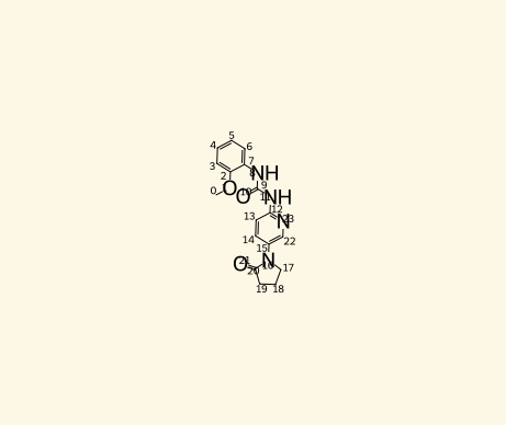 COc1ccccc1NC(=O)Nc1ccc(N2CCCC2=O)cn1